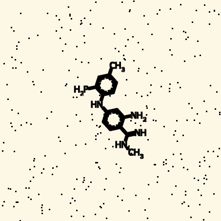 CNC(=N)c1ccc(Nc2ccc(C)cc2P)cc1N